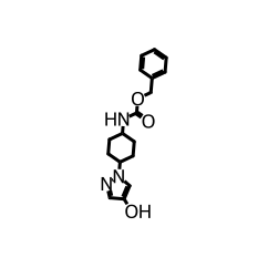 O=C(NC1CCC(n2cc(O)cn2)CC1)OCc1ccccc1